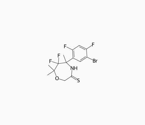 CC1(C)OCC(=S)NC(C)(c2cc(Br)c(F)cc2F)C1(F)F